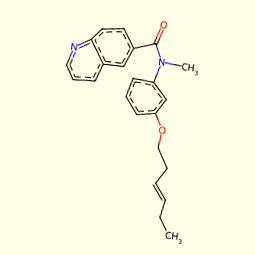 CCC=CCCOc1cccc(N(C)C(=O)c2ccc3ncccc3c2)c1